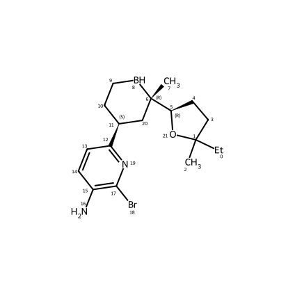 CCC1(C)CC[C@H]([C@@]2(C)BCC[C@H](c3ccc(N)c(Br)n3)C2)O1